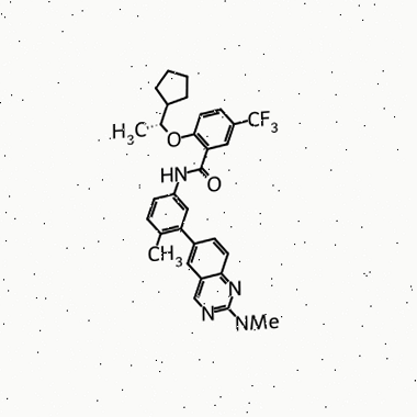 CNc1ncc2cc(-c3cc(NC(=O)c4cc(C(F)(F)F)ccc4O[C@H](C)C4CCCC4)ccc3C)ccc2n1